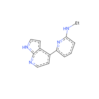 CCNc1cccc(-c2ccnc3[nH]ccc23)n1